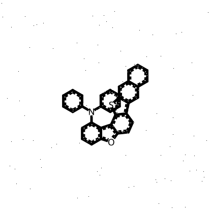 c1ccc(N(c2ccccc2)c2cccc3oc4ccc5c6cc7ccccc7cc6sc5c4c23)cc1